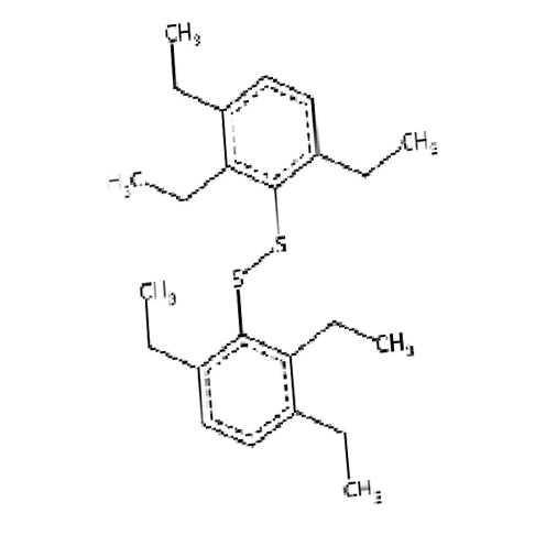 CCc1ccc(CC)c(SSc2c(CC)ccc(CC)c2CC)c1CC